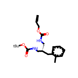 C=CCOC(=O)NC[C@@H](CNC(=O)OC(C)(C)C)Cc1ccccc1C